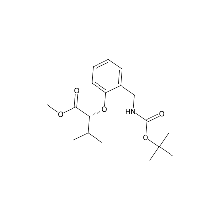 COC(=O)[C@H](Oc1ccccc1CNC(=O)OC(C)(C)C)C(C)C